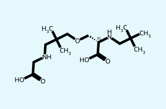 CC(C)(C)CN[C@@H](COCC(C)(C)CNCC(=O)O)C(=O)O